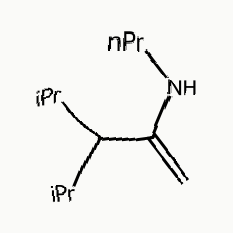 C=C(NCCC)C(C(C)C)C(C)C